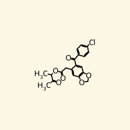 CC(=O)C(C)OC(=O)Cc1cc2c(cc1C(=O)c1ccc(Cl)cc1)OCO2